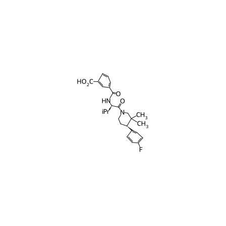 CC(C)[C@@H](NC(=O)c1cccc(C(=O)O)c1)C(=O)N1CC[C@H](c2ccc(F)cc2)C(C)(C)C1